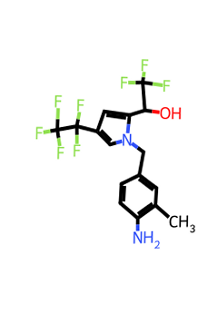 Cc1cc(Cn2cc(C(F)(F)C(F)(F)F)cc2C(O)C(F)(F)F)ccc1N